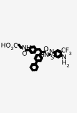 Nc1cc2sc(NC(=O)C(Cc3ccc(C(=O)NCCC(=O)O)cc3)c3ccc(C4=CCCCC4)cc3)nc2cc1C(F)(F)F